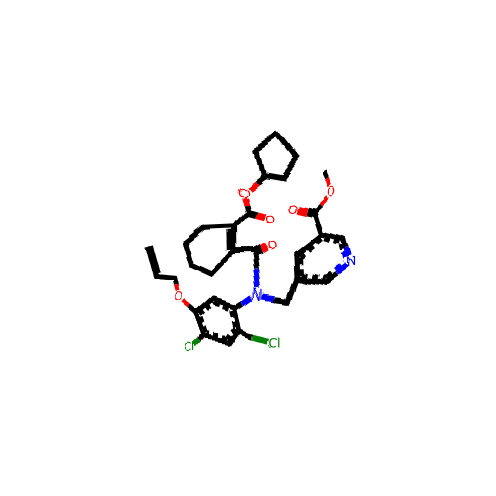 C=CCOc1cc(N(Cc2cncc(C(=O)OC)c2)C(=O)C2=C(C(=O)OC3CCCC3)CCCC2)c(Cl)cc1Cl